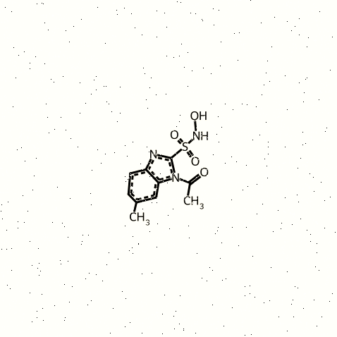 CC(=O)n1c(S(=O)(=O)NO)nc2ccc(C)cc21